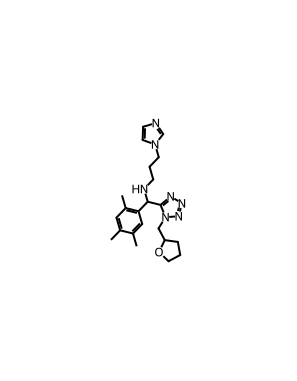 Cc1cc(C)c(C(NCCCn2ccnc2)c2nnnn2CC2CCCO2)cc1C